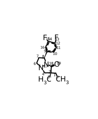 CC[C@]1(C)CN2CC[C@@H](c3ccc(F)c(F)c3)N2C1=O